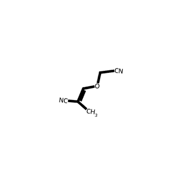 CC(C#N)=COCC#N